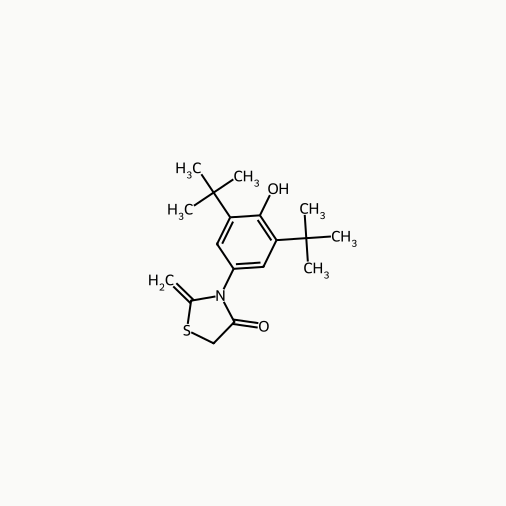 C=C1SCC(=O)N1c1cc(C(C)(C)C)c(O)c(C(C)(C)C)c1